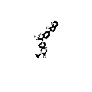 NC(=O)C(c1ccc(-c2ccc3cccnc3c2F)cc1F)N1CCC2(CC1)CN(C1CC1)C(=O)CO2